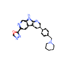 c1nnc(-c2cc3c(cn2)[nH]c2ncc(-c4ccc(CN5CCCCC5)cc4)cc23)o1